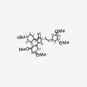 CCCCc1ccc(N2NC(C=Cc3cc(OC)cc(OC)c3)=CC2c2cc(OC)cc(OC)c2)cc1